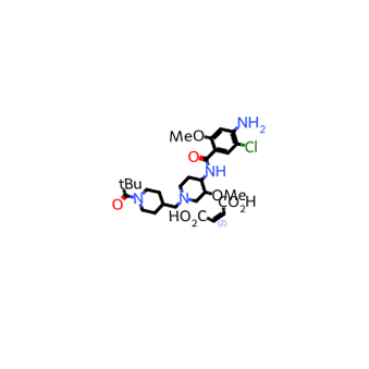 COc1cc(N)c(Cl)cc1C(=O)NC1CCN(CC2CCN(C(=O)C(C)(C)C)CC2)CC1OC.O=C(O)/C=C\C(=O)O